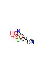 CN(C)[C@H]1C[C@@]23CC[C@]4(O2)C2CC=C(c5cccc6ncccc56)[C@@]2(C)CCC4(Cl)C=C3[C@@H](O)[C@@H]1O